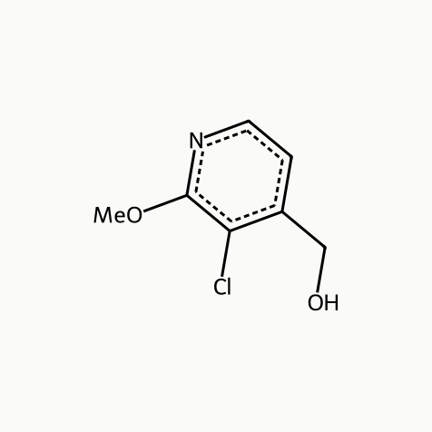 COc1nccc(CO)c1Cl